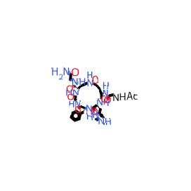 CC(=O)NCC(=O)N[C@H]1CCC(=O)NCC[C@@H](C(=O)NCC(N)=O)NC(=O)CNC(=O)[C@@H](Cc2ccccc2)NC(=O)[C@H](Cc2c[nH]cn2)NC1=O